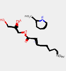 CCCCCCCCCCCCC/C=C/C(=O)OCC(O)CO.O=C(O)C1CCCN1